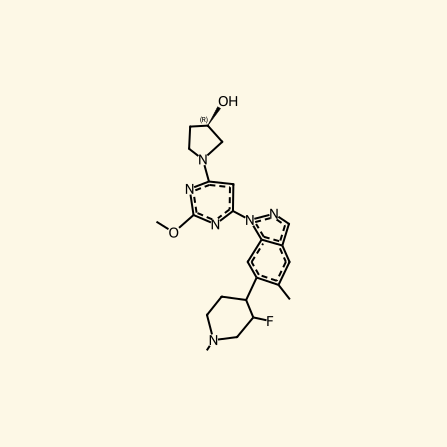 COc1nc(N2CC[C@@H](O)C2)cc(-n2ncc3cc(C)c(C4CCN(C)CC4F)cc32)n1